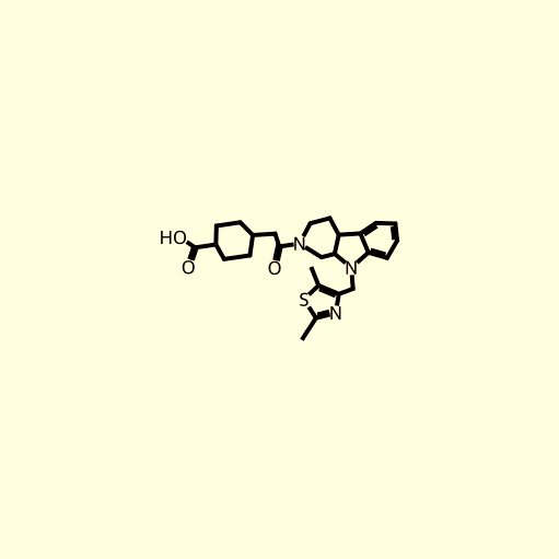 Cc1nc(CN2c3ccccc3C3CCN(C(=O)CC4CCC(C(=O)O)CC4)CC32)c(C)s1